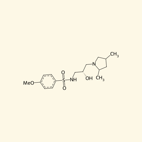 COc1ccc(S(=O)(=O)NC[C@@H](O)CN2CC(C)CC2C)cc1